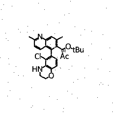 CC(=O)[C@@H](OC(C)(C)C)c1c(C)cc2nc(C)ccc2c1-c1ccc2c(c1Cl)NCCO2